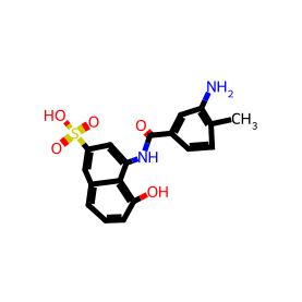 Cc1ccc(C(=O)Nc2cc(S(=O)(=O)O)cc3cccc(O)c23)cc1N